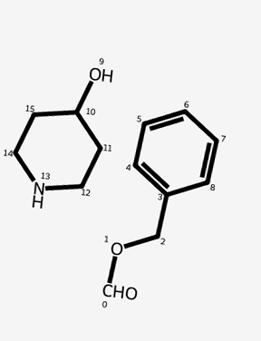 O=COCc1ccccc1.OC1CCNCC1